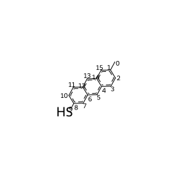 Cc1ccc2cc3cc(S)ccc3cc2c1